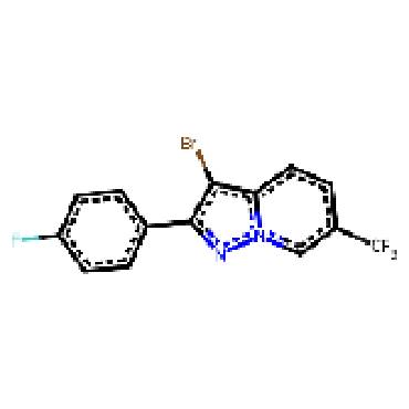 Fc1ccc(-c2nn3cc(C(F)(F)F)ccc3c2Br)cc1